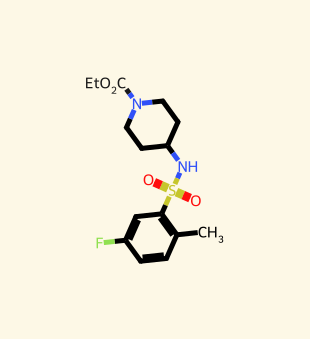 CCOC(=O)N1CCC(NS(=O)(=O)c2cc(F)ccc2C)CC1